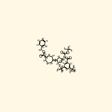 CC(C)(C)OC(=O)N(C(=O)c1cc(C(F)(F)F)cc(C(F)(F)F)c1)[C@@H]1CCN(C2CCCN(C(=O)OCc3ccccc3)CC2)C1